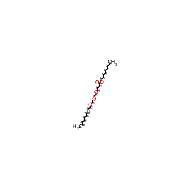 CCCCCCCCCOC(=O)CCCOCCOCCOCCOCCCCCCC